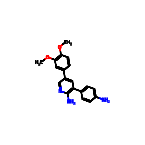 COc1ccc(-c2cnc(N)c(-c3ccc(N)cc3)c2)cc1OC